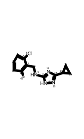 Fc1cccc(Cl)c1CNc1nc(C2CC2)n[nH]1